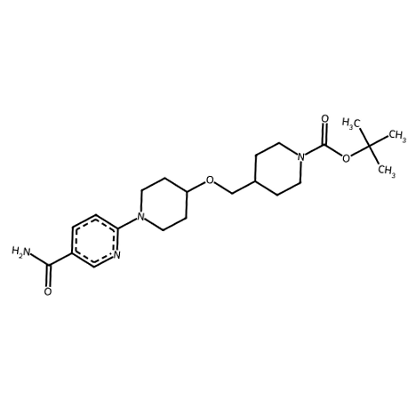 CC(C)(C)OC(=O)N1CCC(COC2CCN(c3ccc(C(N)=O)cn3)CC2)CC1